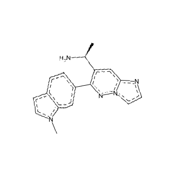 C[C@H](N)c1cc2nccn2nc1-c1ccc2ccn(C)c2c1